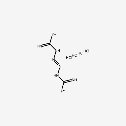 CC(C)C(=N)NN=NNC(=N)C(C)C.Cl.Cl.Cl.Cl